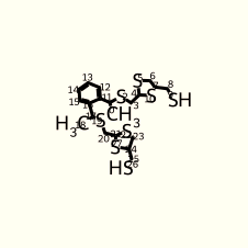 CC(SCC1SCC(CS)S1)c1ccccc1C(C)SCC1SCC(CS)S1